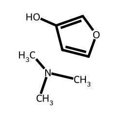 CN(C)C.Oc1ccoc1